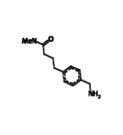 CNC(=O)CCCc1ccc(CN)cc1